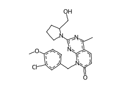 COc1ccc(Cn2c(=O)ccc3c(C)nc(N4CCCC4CO)nc32)cc1Cl